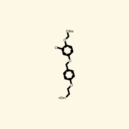 CCCCCCCCCCCCOc1ccc(COc2ccc(OCOC)c(Cl)c2)cc1